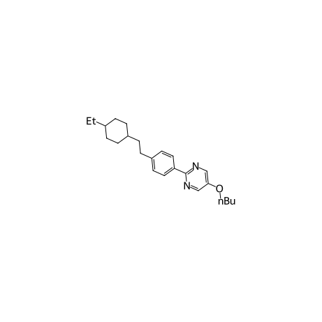 CCCCOc1cnc(-c2ccc(CCC3CCC(CC)CC3)cc2)nc1